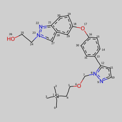 C[Si](C)(C)CCOCn1nccc1-c1ccc(Oc2ccc3nn(CCO)cc3c2)cc1